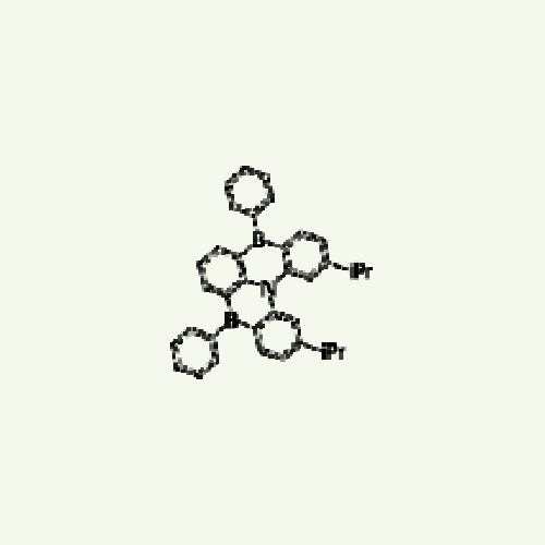 CC(C)c1ccc2c(c1)N1c3cc(C(C)C)ccc3B(c3ccccc3)c3cccc(c31)B2c1ccccc1